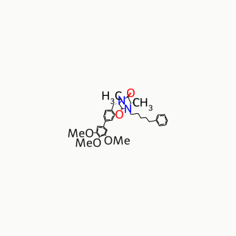 COc1cc(-c2ccc(C[C@H]3C(=O)N(CCCCCc4ccccc4)[C@@H](C)C(=O)N3C)cc2)cc(OC)c1OC